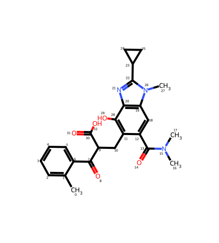 Cc1ccccc1C(=O)C(Cc1c(C(=O)N(C)C)cc2c(nc(C3CC3)n2C)c1O)C(=O)O